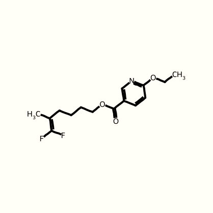 CCOc1ccc(C(=O)OCCCCC(C)=C(F)F)cn1